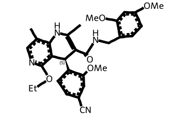 CCOc1ncc(C)c2c1[C@H](c1ccc(C#N)cc1OC)C(C(=O)NCc1ccc(OC)cc1OC)=C(C)N2